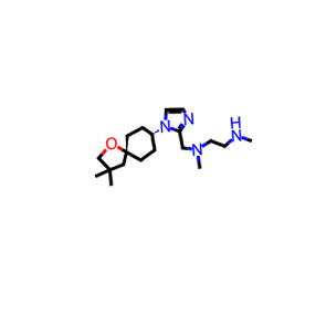 CNCCN(C)Cc1nccn1[C@H]1CC[C@@]2(CC1)CC(C)(C)CO2